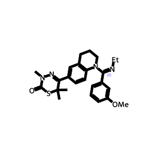 CC/N=C(/c1cccc(OC)c1)N1CCCc2cc(C3=NN(C)C(=O)SC3(C)C)ccc21